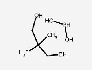 CC(C)(CO)CO.OBO